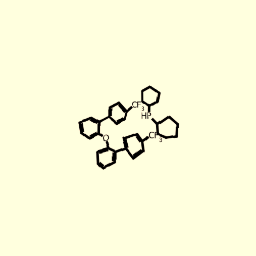 C1CCC(PC2CCCCC2)CC1.FC(F)(F)c1ccc(-c2ccccc2Oc2ccccc2-c2ccc(C(F)(F)F)cc2)cc1